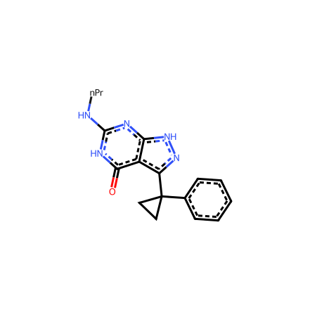 CCCNc1nc2[nH]nc(C3(c4ccccc4)CC3)c2c(=O)[nH]1